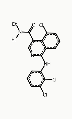 CCN(CC)C(=O)c1cnc(Nc2cccc(Cl)c2Cl)c2cccc(Cl)c12